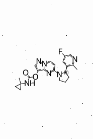 Cc1ncc(F)cc1[C@H]1CCCN1c1ccn2ncc(OC(=O)NC3(C)CC3)c2n1